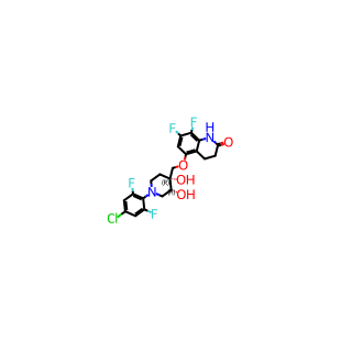 O=C1CCc2c(OC[C@]3(O)CCN(c4c(F)cc(Cl)cc4F)C[C@H]3O)cc(F)c(F)c2N1